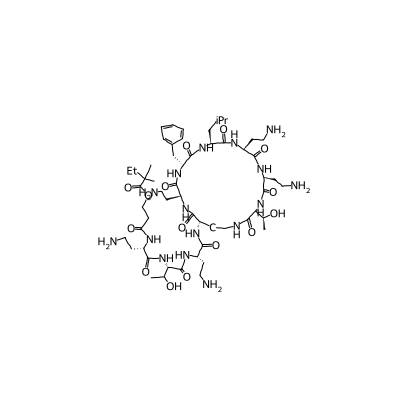 CCC(C)(C)C(=O)OCCC(=O)N[C@@H](CCN)C(=O)N[C@H](C(=O)N[C@@H](CCN)C(=O)N[C@H]1CCNC(=O)[C@H]([C@H](C)O)NC(=O)[C@H](CCN)NC(=O)[C@H](CCN)NC(=O)[C@H](CC(C)C)NC(=O)[C@@H](Cc2ccccc2)NC(=O)[C@H](CCN)NC1=O)C(C)O